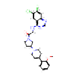 COc1ccccc1C1CCN(C2CCN(C(=O)CNc3ncnc4cc(Cl)c(Cl)cc34)C2)CC1